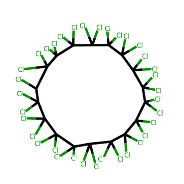 ClC1C(Cl)(Cl)C(Cl)(Cl)C(Cl)(Cl)C(Cl)(Cl)C(Cl)(Cl)C(Cl)(Cl)C(Cl)(Cl)C(Cl)(Cl)C(Cl)(Cl)C(Cl)(Cl)C(Cl)(Cl)C(Cl)(Cl)C(Cl)(Cl)C(Cl)(Cl)C(Cl)(Cl)C(Cl)(Cl)C1(Cl)Cl